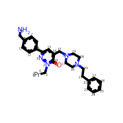 CC(C)Cn1nc(-c2ccc(CN)cc2)cc(CN2CCN(CCc3ccccc3)CC2)c1=O